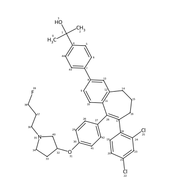 CC(C)(O)c1ccc(-c2ccc3c(c2)CCCC(c2ccc(Cl)cc2Cl)=C3c2ccc(OC3CCN(CCCF)C3)cc2)cc1